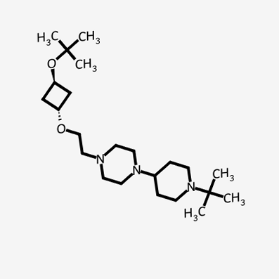 CC(C)(C)O[C@H]1C[C@H](OCCN2CCN(C3CCN(C(C)(C)C)CC3)CC2)C1